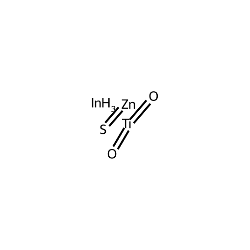 [InH3].[O]=[Ti]=[O].[S]=[Zn]